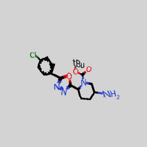 CC(C)(C)OC(=O)N1CC(N)CCC1c1nnc(-c2ccc(Cl)cc2)o1